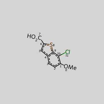 COc1ccc2cc(C(=O)O)sc2c1Cl